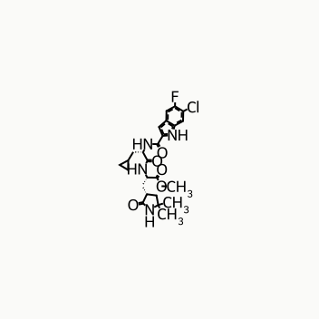 COC(=O)[C@H](C[C@@H]1CC(C)(C)NC1=O)NC(=O)[C@H](CC1CC1)NC(=O)c1cc2cc(F)c(Cl)cc2[nH]1